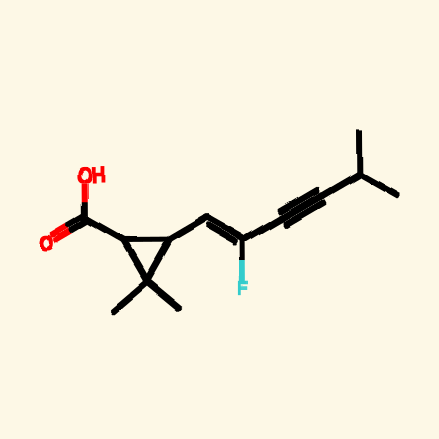 CC(C)C#CC(F)=CC1C(C(=O)O)C1(C)C